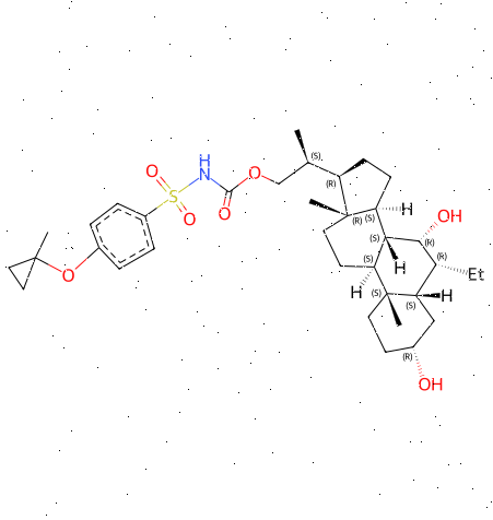 CC[C@H]1[C@@H](O)[C@@H]2[C@H](CC[C@]3(C)[C@@H]([C@H](C)COC(=O)NS(=O)(=O)c4ccc(OC5(C)CC5)cc4)CC[C@@H]23)[C@@]2(C)CC[C@@H](O)C[C@@H]12